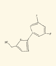 N#CCc1ccc(-c2cc(F)cc(F)c2)s1